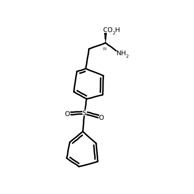 N[C@@H](Cc1ccc(S(=O)(=O)c2ccccc2)cc1)C(=O)O